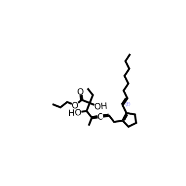 CCCCCC/C=C/C1=C(CC=C=C(C)C(O)C(O)(CC)C(=O)OCCC)CCC1